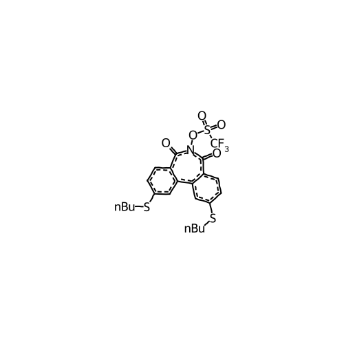 CCCCSc1ccc2c(=O)n(OS(=O)(=O)C(F)(F)F)c(=O)c3ccc(SCCCC)cc3c2c1